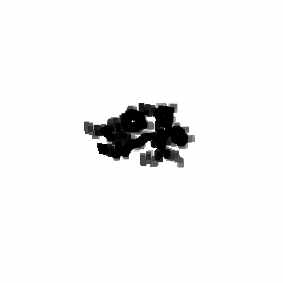 CC(C)CN(C(CO)CCCCNC(=O)C(NC(=O)N(C)C)C(c1ccccc1)c1ccccc1)S(=O)(=O)c1ccc(N)cc1